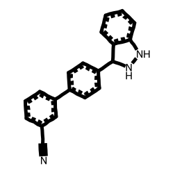 N#Cc1cccc(-c2ccc(C3NNc4ccccc43)cc2)c1